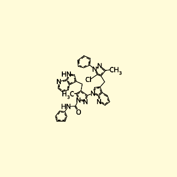 Cc1nn(-c2ccccc2)c(Cl)c1Cc1cn(-c2nn(C(=O)Nc3ccccc3)c(C)c2Cc2c[nH]c3ncccc23)c2ncccc12